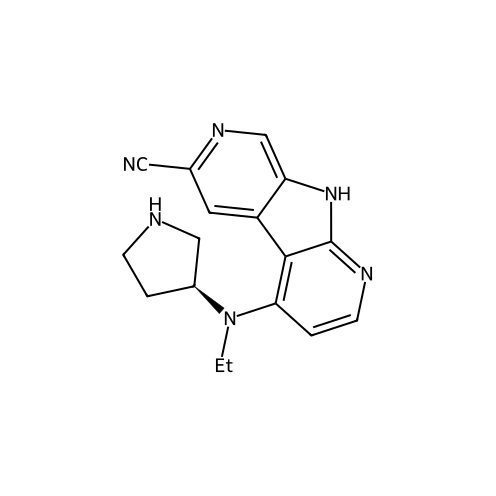 CCN(c1ccnc2[nH]c3cnc(C#N)cc3c12)[C@H]1CCNC1